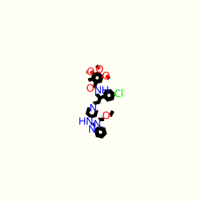 CCOCCn1c(NC2CCN(CCC(CNC(=O)c3cc(OC)c(OC)c(OC)c3C)c3ccc(Cl)cc3)CC2)nc2ccccc21